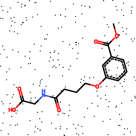 COC(=O)c1cccc(OCCCC(=O)NCC(=O)O)c1